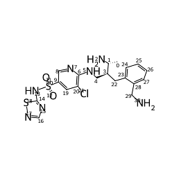 C[C@@H](N)[C@H](CNc1ncc(S(=O)(=O)Nc2ncns2)cc1Cl)Cc1ccccc1CN